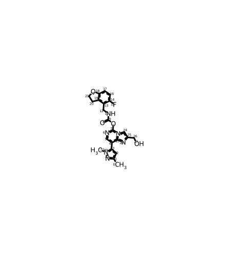 Cc1cc(-c2cnc(OC(=O)NCc3c(F)ccc4c3CCO4)n3cc(CO)nc23)n(C)n1